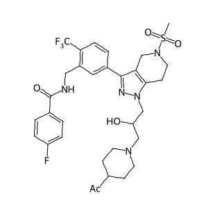 CC(=O)C1CCN(CC(O)Cn2nc(-c3ccc(C(F)(F)F)c(CNC(=O)c4ccc(F)cc4)c3)c3c2CCN(S(C)(=O)=O)C3)CC1